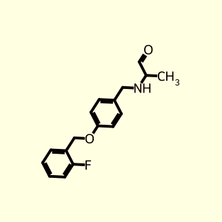 CC(C=O)NCc1ccc(OCc2ccccc2F)cc1